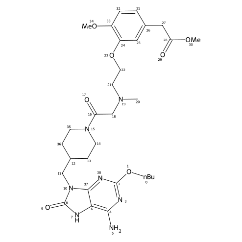 CCCCOc1nc(N)c2[nH]c(=O)n(CC3CCN(C(=O)CN(C)CCOc4cc(CC(=O)OC)ccc4OC)CC3)c2n1